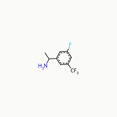 CC(N)c1cc(F)cc(C(F)(F)F)c1